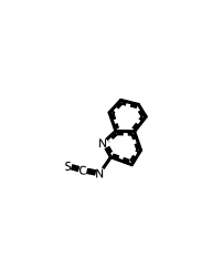 S=C=Nc1ccc2ccccc2n1